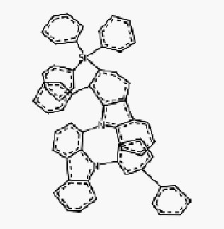 c1ccc(-c2cccc(-n3c4ccccc4c4cccc(-n5c6ccccc6c6ccc([Si](c7ccccc7)(c7ccccc7)c7ccccc7)c(-c7ccccc7)c65)c43)c2)cc1